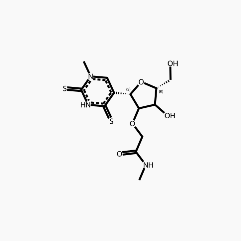 CNC(=O)COC1C(O)[C@@H](CO)O[C@H]1c1cn(C)c(=S)[nH]c1=S